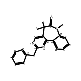 CN1C(=O)C(C)(C)c2cnc(Cc3ccccc3)nc2-c2ccccc21